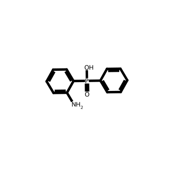 Nc1ccccc1P(=O)(O)c1ccccc1